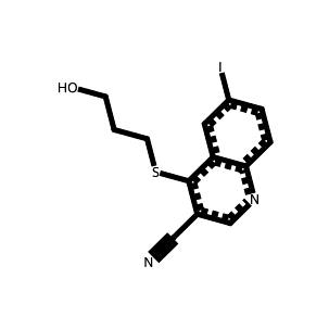 N#Cc1cnc2ccc(I)cc2c1SCCCO